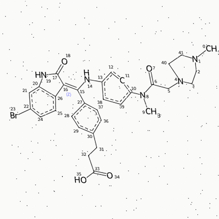 CN1CCN(CC(=O)N(C)c2ccc(N/C(=C3\C(=O)Nc4cc(Br)ccc43)c3ccc(CCC(=O)O)cc3)cc2)CC1